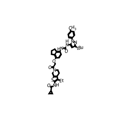 CCc1c(NC(=O)C2CC2)sc2c1CCN(C(=O)COc1ccc(NC(=O)Nc3cc(C(C)(C)C)nn3-c3ccc(C)cc3)c3c1CCC3)C2